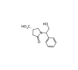 O=C(O)[C@H]1CC(=O)N(C(CO)c2ccccc2)C1